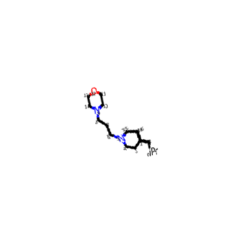 CC(C)CC1CCN(CCCN2CCOCC2)CC1